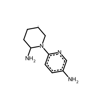 Nc1ccc(N2C[CH]CCC2N)nc1